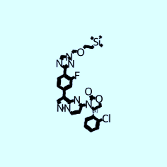 C[Si](C)(C)CCOCn1cnc(-c2ccc(-c3cnn4ccc(N5C(=O)OC[C@@H]5c5ccccc5Cl)nc34)cc2F)n1